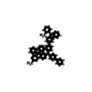 CC1C=CC2=C(C1)c1ccc(N(c3ccc(-c4ccccc4)cc3)c3ccc(-c4ccc5c(c4)c4ccccc4n5C4=CC=CCC4C)cc3)cc1C21c2ccccc2-c2ccccc21